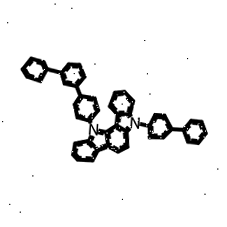 c1ccc(-c2ccc(-n3c4ccccc4c4c3ccc3c5ccccc5n(-c5ccc(-c6cccc(-c7ccccc7)c6)cc5)c34)cc2)cc1